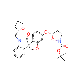 CC(C)(C)OC(=O)N1CC[C@@H](Oc2ccc3c(c2)OCC32C(=O)N(C[C@H]3CCCO3)c3ccccc32)O1